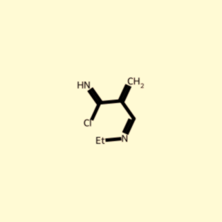 C=C(/C=N\CC)C(=N)Cl